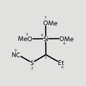 CCC(SC#N)[Si](OC)(OC)OC